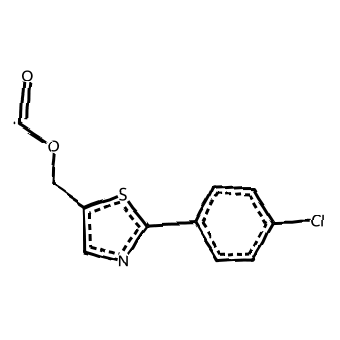 O=[C]OCc1cnc(-c2ccc(Cl)cc2)s1